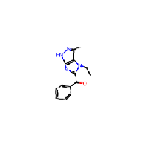 CCn1c(C(=O)c2ccccc2)nc2[nH]nc(C)c21